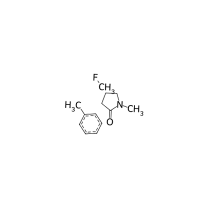 CF.CN1CCCC1=O.Cc1ccccc1